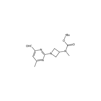 Cc1cc(C=O)nc(N2CC(N(C)C(=O)OC(C)(C)C)C2)n1